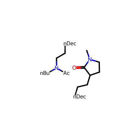 CCCCCCCCCCCCC1CCN(C)C1=O.CCCCCCCCCCCCN(CCCC)C(C)=O